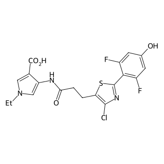 CCn1cc(NC(=O)CCc2sc(-c3c(F)cc(O)cc3F)nc2Cl)c(C(=O)O)c1